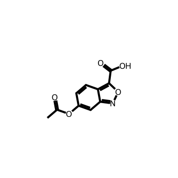 CC(=O)Oc1ccc2c(C(=O)O)onc2c1